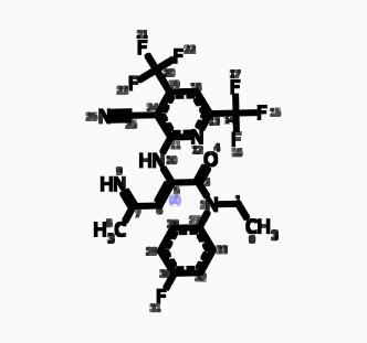 CCN(C(=O)/C(=C/C(C)=N)Nc1nc(C(F)(F)F)cc(C(F)(F)F)c1C#N)c1ccc(F)cc1